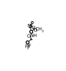 COC(=O)c1cc(NC(=O)C2CC2c2cccc(C(F)(F)F)c2)ccc1-c1cnn(C2CCC2)c1